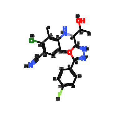 Cc1c(N[C@@H](c2nnc(-c3ccc(F)cc3)o2)C(C)O)ccc(C#N)c1Cl